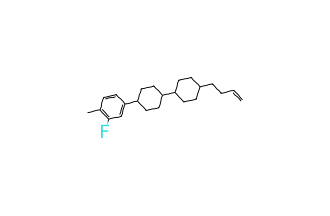 C=CCCC1CCC(C2CCC(c3ccc(C)c(F)c3)CC2)CC1